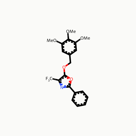 COc1cc(COc2oc(-c3ccccc3)nc2C(F)(F)F)cc(OC)c1OC